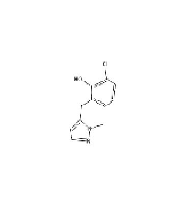 Cn1nccc1Cc1cccc(Cl)c1O